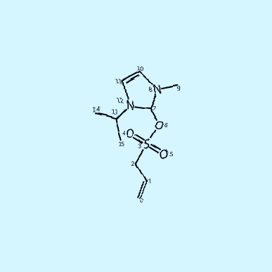 C=CCS(=O)(=O)OC1N(C)C=CN1C(C)C